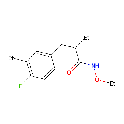 CCONC(=O)C(CC)Cc1ccc(F)c(CC)c1